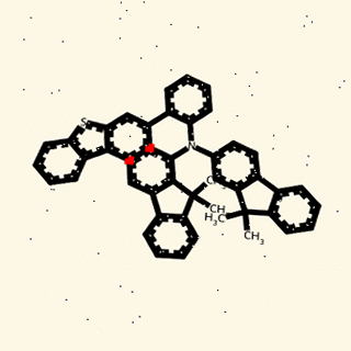 CC1(C)c2ccccc2-c2ccc(N(c3ccccc3-c3ccc4c(c3)sc3ccccc34)c3cccc4c3C(C)(C)c3ccccc3-4)cc21